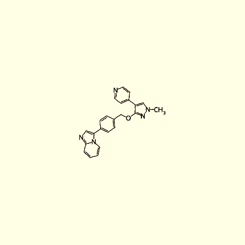 Cn1cc(-c2ccncc2)c(OCc2ccc(-c3cnc4ccccn34)cc2)n1